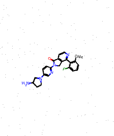 COc1cccc(F)c1-c1nccc2c1CN(c1ccc(N3CCC(N)C3)cn1)C2=O